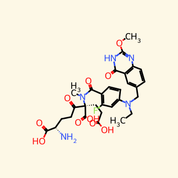 CCN(Cc1ccc2nc(OC)[nH]c(=O)c2c1)c1ccc(C(=O)N(C)[C@@](CCC(=O)O)(C(=O)O)C(=O)CC[C@H](N)C(=O)O)c(F)c1